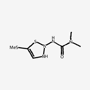 CSC1=CNN(NC(=O)N(C)C)S1